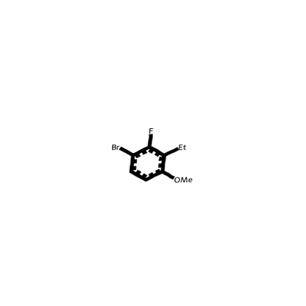 CCc1c(OC)ccc(Br)c1F